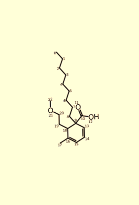 CCCCCCCCCC1(C(=O)O)C=CC=C(C)C1CCOC